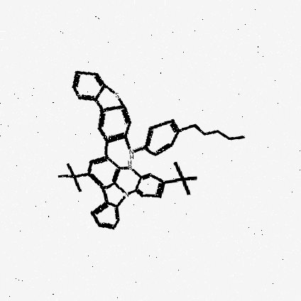 CCCCCc1ccc(Nc2cc3sc4ccccc4c3cc2-c2cc(C(C)(C)C)c3c4ccccc4n4c3c2Bc2cc(C(C)(C)C)ccc2-4)cc1